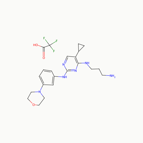 NCCCNc1nc(Nc2cccc(N3CCOCC3)c2)ncc1C1CC1.O=C(O)C(F)(F)F